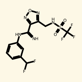 N=C(Nc1cccc(C(F)F)c1)c1nonc1CNS(=O)(=O)C(F)(F)F